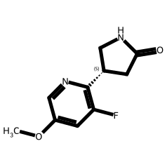 COc1cnc([C@@H]2CNC(=O)C2)c(F)c1